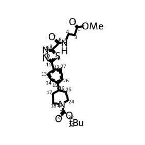 COC(=O)CCNC(=O)c1nnc(-c2ccc(C3CCN(C(=O)OC(C)(C)C)CC3)cc2)s1